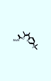 C=C(NC)O/C(C)=C(/C)c1ccc([Si](C)(C)C)cn1